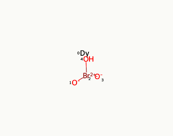 [Dy].[O-][Br+2]([O-])O